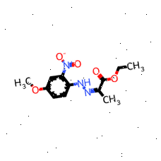 CCOC(=O)C(C)=NNc1ccc(OC)cc1[N+](=O)[O-]